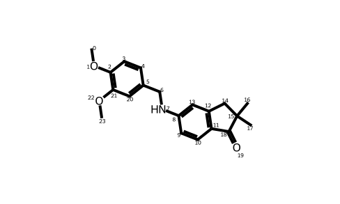 COc1ccc(CNc2ccc3c(c2)CC(C)(C)C3=O)cc1OC